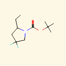 CCC1CC(F)(F)CN1C(=O)OC(C)(C)C